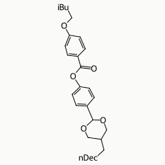 CCCCCCCCCCCC1COC(c2ccc(OC(=O)c3ccc(OCC(C)CC)cc3)cc2)OC1